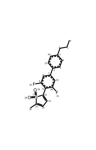 CCCc1ccc(-c2cc(F)c(C3=CC=C(C)S3(=O)=O)c(F)c2)cc1